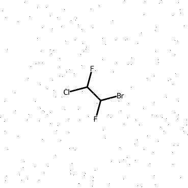 FC(Cl)C(F)Br